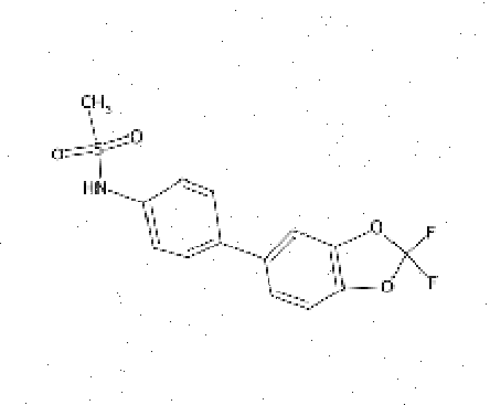 CS(=O)(=O)Nc1ccc(-c2ccc3c(c2)OC(F)(F)O3)cc1